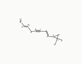 CC1(C)CC1C=CC#CCC=CF